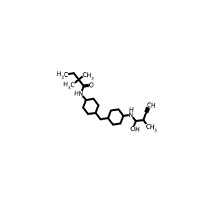 C#CC(C)C(O)NC1CCC(CC2CCC(NC(=O)C(C)(C)CC)CC2)CC1